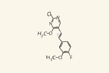 COc1cc(/C=C/c2cnc(Cl)nc2OC)ccc1F